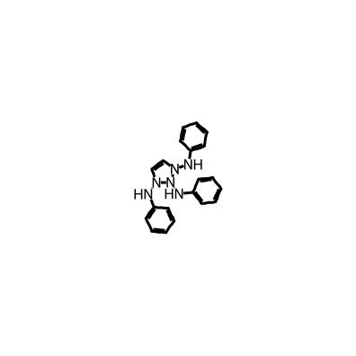 C1=CN(Nc2ccccc2)N(Nc2ccccc2)N1Nc1ccccc1